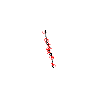 C=CC(=O)CCCCCCCOC(=O)Oc1ccc(C(=O)O[C@H]2COC3C2OC[C@H]3OC(=O)c2ccc(OC(=O)OCCCCCCOC(=O)C=C)cc2)cc1